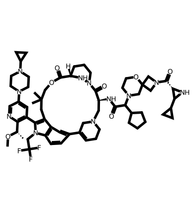 CO[C@@H](C)c1ncc(N2CCN(C3CC3)CC2)cc1-c1c2c3cc(ccc3n1CC(F)(F)F)C1=CCCN(C1)C[C@H](NC(=O)C(C1CCCC1)N1CCOC3(CN(C(=O)[C@@H]4NC4C4CC4)C3)C1)C(=O)N1CCC[C@H](N1)C(=O)OCC(C)(C)C2